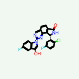 O=C1N[C@H](c2cc(F)ccc2Cl)c2c1ccc1cnc(-n3cc(O)c4cc(F)ccc43)nc21